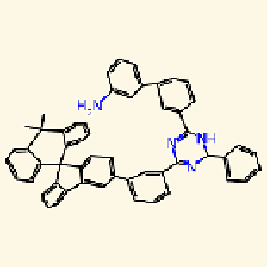 CC1(C)c2ccccc2C2(c3ccccc3-c3cc(-c4cccc(C5=NC(c6ccccc6)NC(c6cccc(-c7cccc(N)c7)c6)=N5)c4)ccc32)c2ccccc21